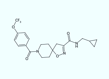 O=C(NCC1CC1)C1=NOC2(CCN(C(=O)c3ccc(OC(F)(F)F)cc3)CC2)C1